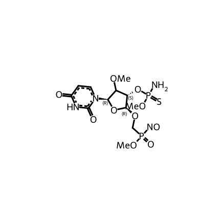 COC1[C@H](n2ccc(=O)[nH]c2=O)O[C@H](OCP(=O)(N=O)OC)[C@H]1OP(N)(=S)OC